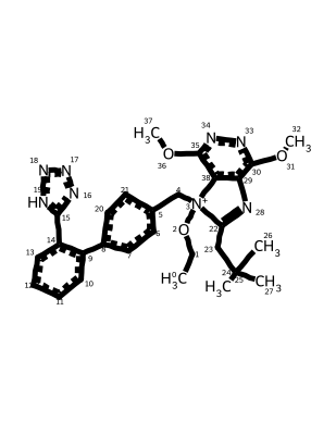 CCO[N+]1(Cc2ccc(-c3ccccc3-c3nnn[nH]3)cc2)C(CC(C)(C)C)=Nc2c(OC)nnc(OC)c21